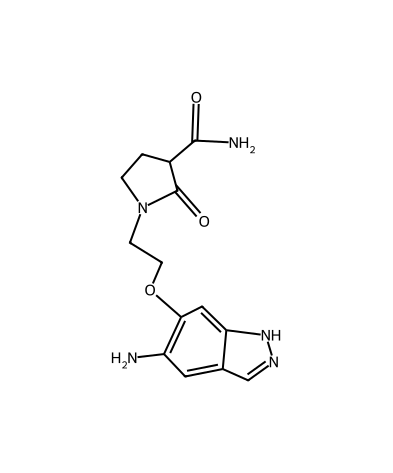 NC(=O)C1CCN(CCOc2cc3[nH]ncc3cc2N)C1=O